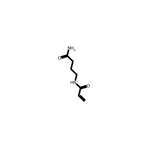 C=CC(=O)NCCCC(N)=O